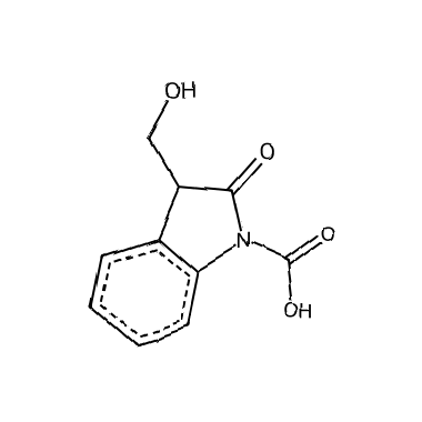 O=C(O)N1C(=O)C(CO)c2ccccc21